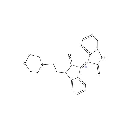 O=C1Nc2ccccc2/C1=C1\C(=O)N(CCN2CCOCC2)c2ccccc21